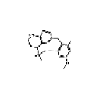 COc1cc(C)c(Cc2ccc3c(c2)C(C(C)(C)C)CCN3)c(C)c1